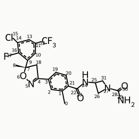 Cc1cc(C2=NO[C@](C)(c3cc(C(F)(F)F)cc(Cl)c3F)C2)ccc1C(=O)NC1CN(C(N)=O)C1